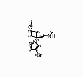 CN/C=C/[C@]1(n2cc(Br)cn2)C[C@H](OC)C1